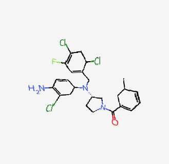 CC1C=CC=C(C(=O)N2CC[C@H](N(CC3=CC(F)=C(Cl)CC3Cl)C3C=CC(N)=C(Cl)C3)C2)C1